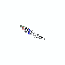 CC1CCC(CCc2cnc(-c3ccc(OC(F)F)cc3)nc2)CC1